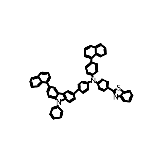 c1ccc(-n2c3ccc(-c4ccc(N(c5ccc(-c6nc7ccccc7s6)cc5)c5ccc(-c6cccc7ccccc67)cc5)cc4)cc3c3cc(-c4cccc5ccccc45)ccc32)cc1